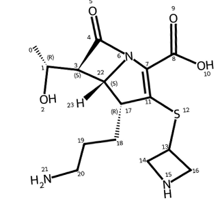 C[C@@H](O)[C@H]1C(=O)N2C(C(=O)O)=C(SC3CNC3)[C@H](CCCN)[C@H]12